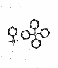 C[N+](C)(C)c1ccccc1.c1ccc([B-](c2ccccc2)(c2ccccc2)c2ccccc2)cc1